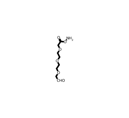 NOC(=O)COCCOCCOCC=O